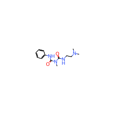 CN(C)CCNC(=O)N(C)C(=O)Nc1ccccc1